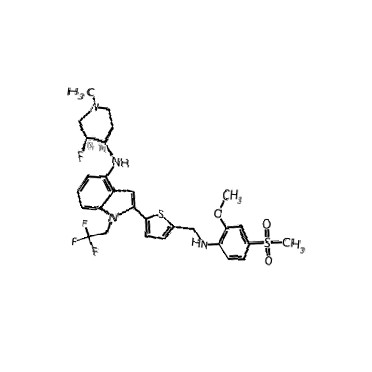 COc1cc(S(C)(=O)=O)ccc1NCc1ccc(-c2cc3c(N[C@@H]4CCN(C)C[C@@H]4F)cccc3n2CC(F)(F)F)s1